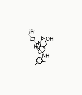 Cc1ccc(NC(=O)C[C@H](CCO)c2nnc([C@H]3C[C@@H](CC(C)C)C3)n2C2CC2)c(C)c1